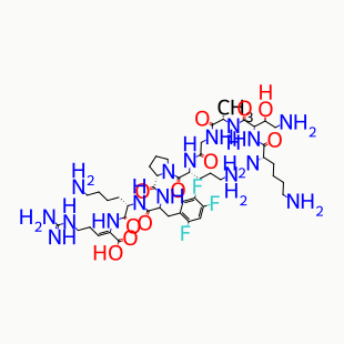 C[C@H](NC(=O)[C@@H](NC(=O)[C@@H](N)CCCCN)[C@@H](O)CN)C(=O)NCC(=O)N[C@H](CCCN)C(=O)N1CCC[C@H]1C(=O)NC(Cc1cc(F)c(F)cc1F)C(=O)N[C@@H](CCCCN)C(=O)N/C(=C\CCNC(=N)N)C(=O)O